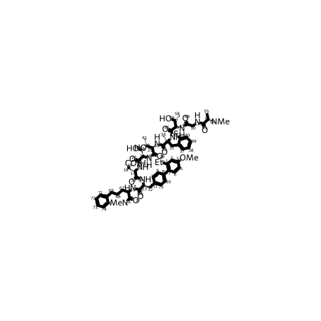 CCc1cc(OC)ccc1-c1ccc(C[C@H](NC(=O)[C@H](CC(=O)O)NC(=O)[C@H](CO)NC(=O)[C@@H](NC(=O)[C@](C)(Cc2ccccc2F)NC(=O)[C@@H](NC(=O)CNC(=O)[C@H](C)NC)[C@@H](C)O)[C@@H](C)O)C(=O)NC(CCCc2ccccc2)C(=O)NC)cc1